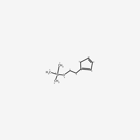 C[Si](C)(C)OCCC1=CC=CC1